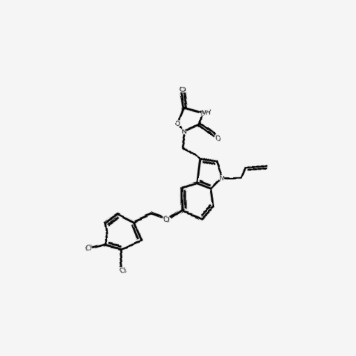 C=CCn1cc(Cn2oc(=O)[nH]c2=O)c2cc(OCc3ccc(Cl)c(Cl)c3)ccc21